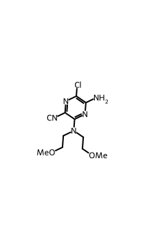 [C-]#[N+]c1nc(Cl)c(N)nc1N(CCOC)CCOC